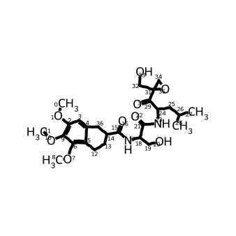 COc1cc2c(c(OC)c1OC)CCC(C(=O)NC(CO)C(=O)NC(CC(C)C)C(=O)C1(CO)CO1)C2